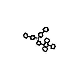 c1ccc(-c2ccc(N(c3ccc(-c4ccccc4)cc3)c3cccc(-c4c5c(c(-c6ccccc6)c6c4CCCC6)CCCC5)c3)cc2)cc1